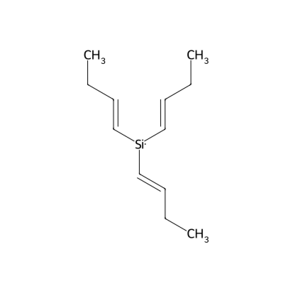 CCC=C[Si](C=CCC)C=CCC